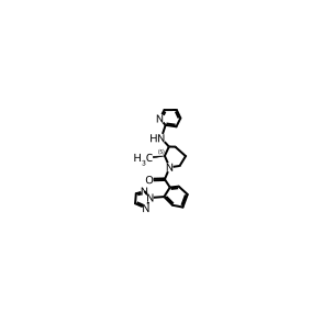 C[C@H]1C(Nc2ccccn2)CCCN1C(=O)c1ccccc1-n1nccn1